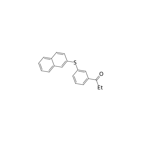 CCC(=O)c1cccc(Sc2ccc3ccccc3c2)c1